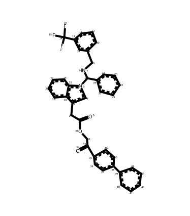 O=C(Cc1cn(C(NCc2cccc(C(F)(F)F)c2)c2ccccc2)c2ccccc12)OCC(=O)c1ccc(-c2ccccc2)cc1